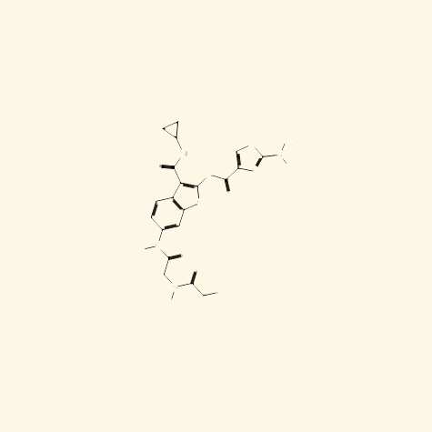 CCC(=O)N(C)CC(=O)N(C)c1ccc2c(C(=O)NC3CC3)c(NC(=O)c3csc(N(C)C)n3)[nH]c2c1